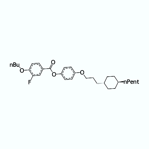 CCCCC[C@H]1CC[C@H](CCCOc2ccc(OC(=O)c3ccc(OCCCC)c(F)c3)cc2)CC1